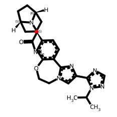 CC(C)n1ncnc1-c1cn2c(n1)-c1ccc([C@@H]3C[C@H]4CC[C@@H](C3)N4CC(N)=O)cc1OCC2